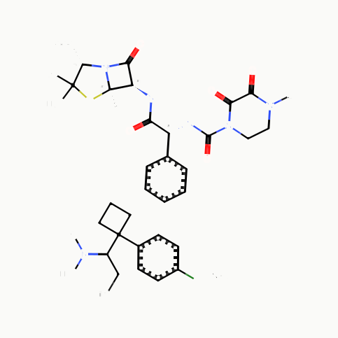 CC(C)CC(N(C)C)C1(c2ccc(Cl)cc2)CCC1.CCN1CCN(C(=O)N[C@@H](C(=O)N[C@@H]2C(=O)N3[C@@H]2SC(C)(C)[C@@H]3C(=O)[O-])c2ccccc2)C(=O)C1=O.Cl.[Na+]